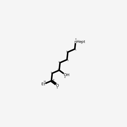 CCCCCCCCCCCC(O)CC(=O)CC